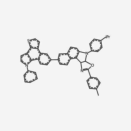 Cc1ccc(C2=NC3c4c(ccc5cc(-c6ccc7c(c6)c6ccsc6c6ccn(-c8ccccc8)c76)ccc45)N(c4ccc(C(C)C)cc4)C3O2)cc1